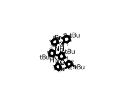 CC(C)(C)c1ccc(Oc2ccccc2Nc2ccc(C(C)(C)C)cc2-c2cc(C(C)(C)C)ccc2Nc2ccccc2Oc2ccc(C(C)(C)C)cc2Br)c(Br)c1